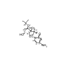 CC(C)(C)OC(=O)[C@@]1(O)[C@@H](CO)O[C@@H](n2ccc(N)nc2=O)C1(F)F